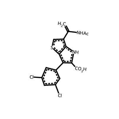 C=C(NC(C)=O)c1csc2c(-c3cc(Cl)cc(Cl)c3)c(C(=O)O)[nH]c12